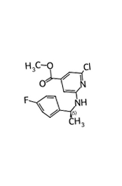 COC(=O)c1cc(Cl)nc(N[C@@H](C)c2ccc(F)cc2)c1